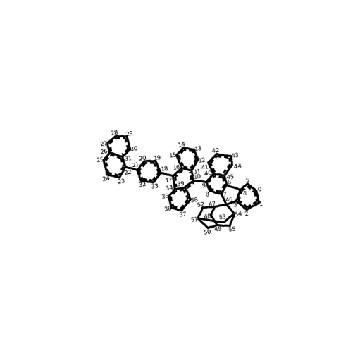 c1ccc2c(c1)-c1c(cc(-c3c4ccccc4c(-c4ccc(-c5cccc6ccccc56)cc4)c4ccccc34)c3ccccc13)C21C2CC3CC(C2)CC1C3